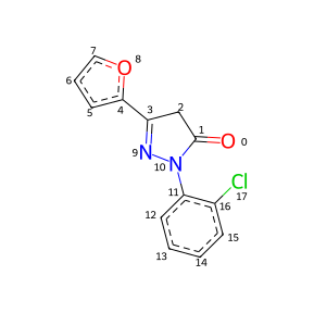 O=C1CC(c2ccco2)=NN1c1ccccc1Cl